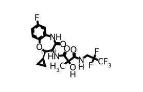 CC(O)(C(=O)NCC(F)(F)C(F)(F)F)C(=O)N[C@@H]1C(=O)Nc2cc(F)ccc2O[C@@H]1C1CC1